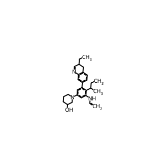 C=CNc1cc(N2CCCC(O)C2)cc(-c2ccc3c(c2)N=CC(CC)C3)c1C(C)CC